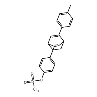 Cc1ccc(C2=CC3CCC2C=C3c2ccc(OS(=O)(=O)C(F)(F)F)cc2)cc1